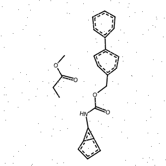 CCC(=O)OC.O=C(Nc1c2cccc1-2)OCc1ccc(-c2ccccc2)cc1